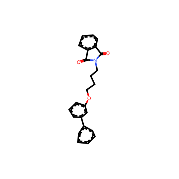 O=C1c2ccccc2C(=O)N1CCCCOc1cccc(-c2ccccc2)c1